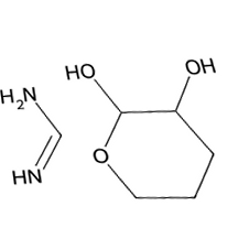 N=CN.OC1CCCOC1O